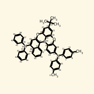 Cc1ccc(N(c2ccc(C)cc2)c2ccc3c(c2)Oc2cc(C(C)(C)C)cc4c2B3c2c(cc(N(c3ccccc3)c3ccccc3)c3ccccc23)O4)cc1